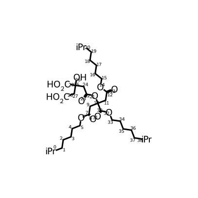 CC(C)CCCCCOC(=O)CC(CC(=O)OCCCCCC(C)C)(OC(=O)CC(O)(CC(=O)O)C(=O)O)C(=O)OCCCCCC(C)C